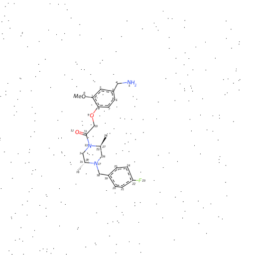 COc1cc(CN)ccc1OCC(=O)N1C[C@@H](C)N(Cc2ccc(F)cc2)C[C@@H]1C